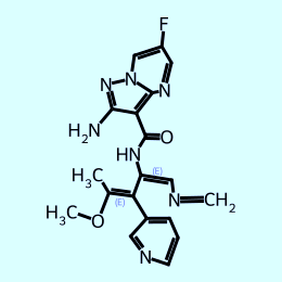 C=N/C=C(NC(=O)c1c(N)nn2cc(F)cnc12)\C(=C(/C)OC)c1cccnc1